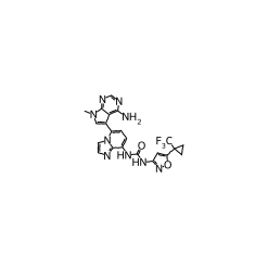 Cn1cc(-c2ccc(NC(=O)Nc3cc(C4(C(F)(F)F)CC4)on3)c3nccn23)c2c(N)ncnc21